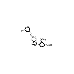 COc1ccc(-c2nnc(NC(=O)COc3cccc(F)c3)[nH]2)c(OC)c1